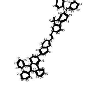 CC1(C)c2cc(/C=C/C3=Cc4ccc(-c5ccc6c(-c7ccccc7)c(-c7ccccc7)c7ccccc7c6c5)cc4CC3)ccc2-c2ccc(N(C3=CCCC=C3)c3ccccc3)cc21